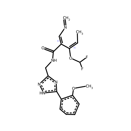 C=N/C=C(C(=O)NCc1n[nH]c(-c2ccccc2OC)n1)\C(=C/C)OC(F)F